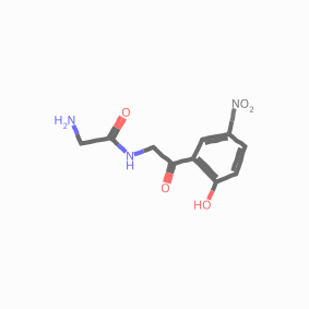 NCC(=O)NCC(=O)c1cc([N+](=O)[O-])ccc1O